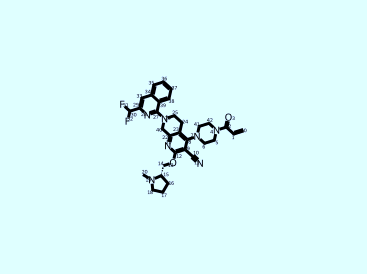 C=CC(=O)N1CCN(c2c(C#N)c(OC[C@@H]3CCCN3C)nc3c2CCN(c2nc(C(F)F)cc4ccccc24)C3)CC1